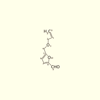 C=CCOCc1ccc(C=O)o1